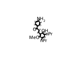 CCCc1cc(CCC)c(OC)c(/C=C/C(=O)c2ccc(N)cc2)c1O